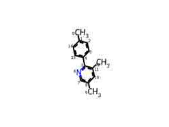 Cc1ccc(-c2ncc(C)cc2C)cc1